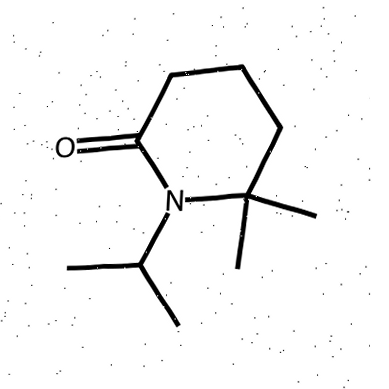 CC(C)N1C(=O)CCCC1(C)C